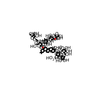 CC[C@]1(O)CO[C@@H](OC2C(O)[C@H](O[C@H]3C(C)O[C@@H](OC4C(O)[C@@H](NC(=O)CO[C@@H]5O[C@@H](CO)C(O)C5O)C(CO)O[C@H]4OC(=O)[C@]45CCC(C)(C)CC4C4=CCC6C7(C)CC[C@H](O[C@@H]8OC(C(=O)O)[C@@H](O)[C@H](O[C@@H]9OC[C@@H](O)[C@H](O)C9O)C8O[C@@H]8OC(CO)[C@H](O)[C@H](O)C8O)[C@](C)(C=O)[C@@H]7CCC6(C)[C@]4(C)CC5O)C(O)C3O)OC[C@H]2O)C1O